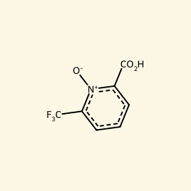 O=C(O)c1cccc(C(F)(F)F)[n+]1[O-]